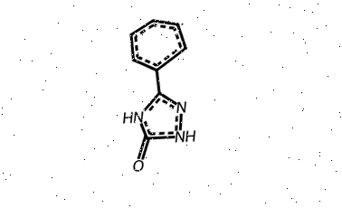 O=c1[nH]nc(-c2c[c]ccc2)[nH]1